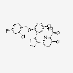 O=C(O)c1nc(C2=C(c3cc(Cl)ccc3OCc3ccc(F)cc3Cl)CCC2)ccc1Cl